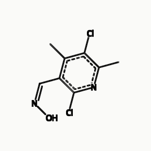 Cc1nc(Cl)c(/C=N\O)c(C)c1Cl